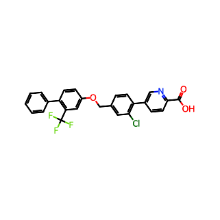 O=C(O)c1ccc(-c2ccc(COc3ccc(-c4ccccc4)c(C(F)(F)F)c3)cc2Cl)cn1